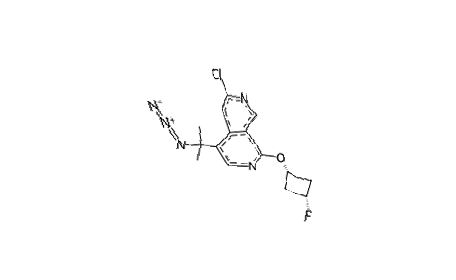 CC(C)(N=[N+]=[N-])c1cnc(O[C@H]2C[C@@H](F)C2)c2cnc(Cl)cc12